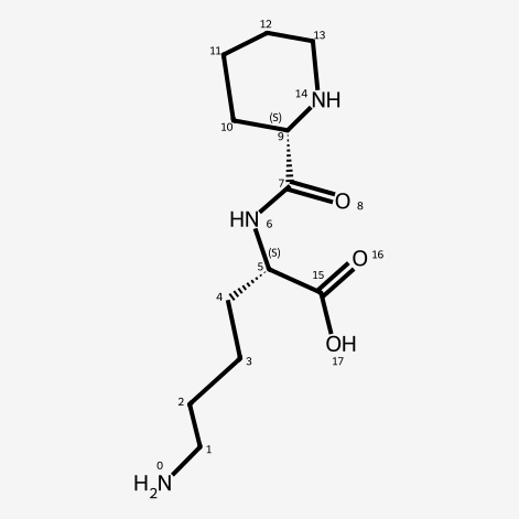 NCCCC[C@H](NC(=O)[C@@H]1CCCCN1)C(=O)O